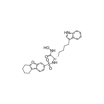 O=C(NO)[C@H](CCCCCc1c[nH]c2ccccc12)NS(=O)(=O)c1ccc2c3c(oc2c1)CCCC3